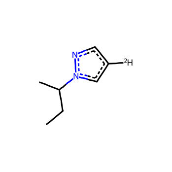 [2H]c1cnn(C(C)CC)c1